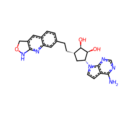 Nc1ncnc2c1ccn2[C@@H]1C[C@H](CCc2ccc3cc4c(nc3c2)NOC4)[C@@H](O)[C@H]1O